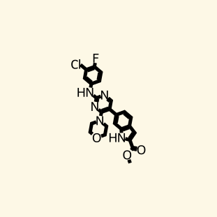 COC(=O)c1cc2ccc(-c3cnc(Nc4ccc(F)c(Cl)c4)nc3N3CCOCC3)cc2[nH]1